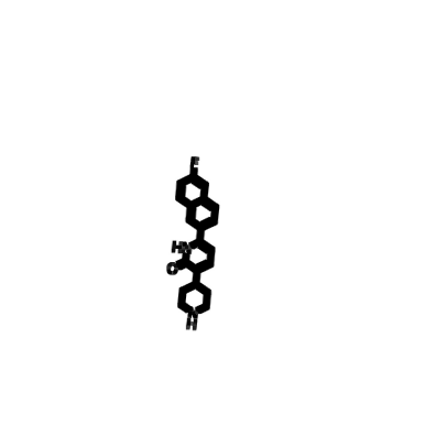 O=c1[nH]c(-c2ccc3cc(F)ccc3c2)ccc1C1CCNCC1